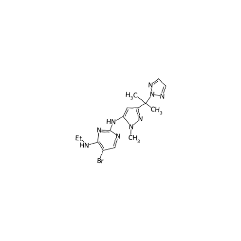 CCNc1nc(Nc2cc(C(C)(C)n3nccn3)nn2C)ncc1Br